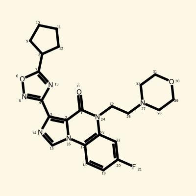 O=c1c2c(-c3noc(C4CCCC4)n3)ncn2c2ccc(F)cc2n1CCN1CCOCC1